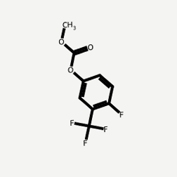 COC(=O)Oc1ccc(F)c(C(F)(F)F)c1